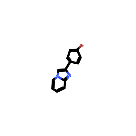 Brc1ccc(-c2[c]n3ccccc3n2)cc1